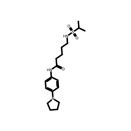 CC(C)S(=O)(=O)NCCCCC(=O)Nc1ccc(N2CCCC2)cc1